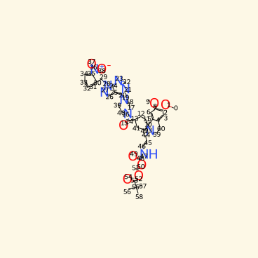 COc1cc2c(cc1OC)C1(CCC(C(=O)N3CCN(c4ncnc5c4cnn5Cc4ccccc4[N+](=O)[O-])CC3)CC1)N(CCCNC(=O)OCOC(=O)C(C)(C)C)CC2